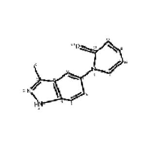 Cc1n[nH]c2ccc(-n3ccccc3=O)cc12